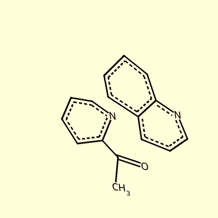 CC(=O)c1ccccn1.c1ccc2ncccc2c1